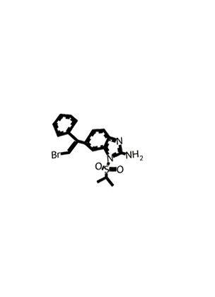 CC(C)S(=O)(=O)n1c(N)nc2ccc(C(=CBr)c3ccccc3)cc21